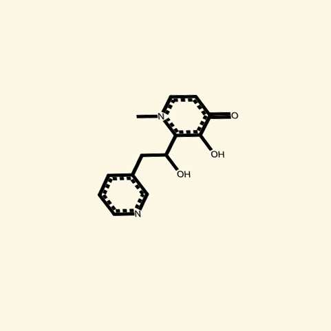 Cn1ccc(=O)c(O)c1C(O)Cc1cccnc1